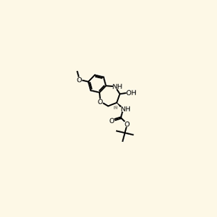 COc1ccc2c(c1)OC[C@H](NC(=O)OC(C)(C)C)C(O)N2